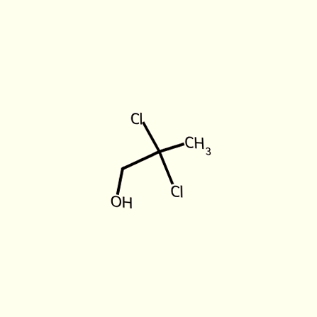 CC(Cl)(Cl)CO